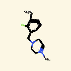 CC(=O)ON1CCN(Cc2cccc([N+](=O)[O-])c2F)CC1